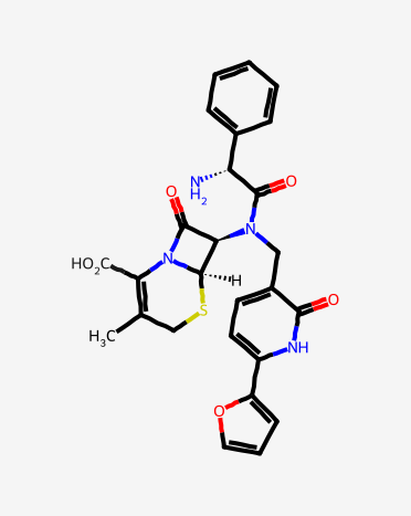 CC1=C(C(=O)O)N2C(=O)[C@@H](N(Cc3ccc(-c4ccco4)[nH]c3=O)C(=O)[C@H](N)c3ccccc3)[C@H]2SC1